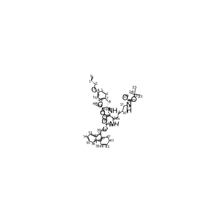 C=CCOc1ccc(C[C@H](NC(=O)[C@@H](CCCCNC(=O)OC(C)(C)C)NC(=O)OCC2C3=CC=CCC3(C)C3=C2CCC=C3)C(=O)OC)cc1